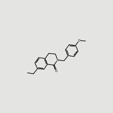 CCc1ccc2c(c1)C(=O)N(Cc1ccc(OC)cc1)CC2